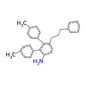 Cc1ccc(-c2c(N)ccc(CCCc3ccccc3)c2-c2ccc(C)cc2)cc1